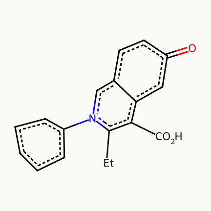 CCc1c(C(=O)O)c2cc(=O)ccc-2cn1-c1ccccc1